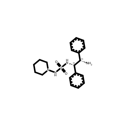 N[C@@H](c1ccccc1)[C@@H](NS(=O)(=O)NN1CCCCC1)c1ccccc1